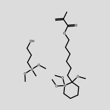 C=C(C)C(=O)OCCCCCCC1(OC)CCCC[Si]1(OC)OC.CO[Si](C)(CCCO)OC